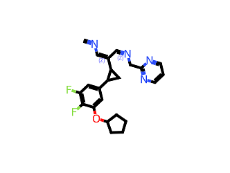 C=N/C=C(\C=N/Cc1ncccn1)C1CC1c1cc(F)c(F)c(OC2CCCC2)c1